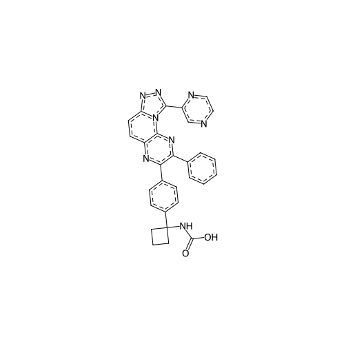 O=C(O)NC1(c2ccc(-c3nc4ccc5nnc(-c6cnccn6)n5c4nc3-c3ccccc3)cc2)CCC1